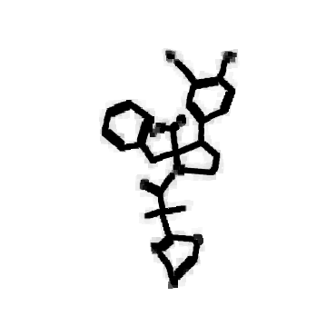 CC(C)c1ccc(C2CCN(C(=O)C(C)(C)c3nnco3)C2(Cc2ccccc2)C(N)=O)cc1F